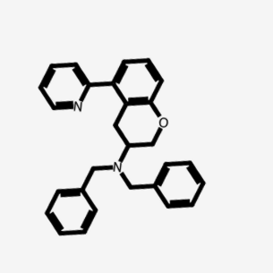 c1ccc(CN(Cc2ccccc2)C2COc3cccc(-c4ccccn4)c3C2)cc1